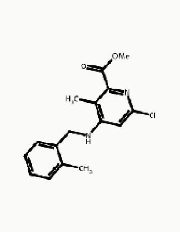 COC(=O)c1nc(Cl)cc(NCc2ccccc2C)c1C